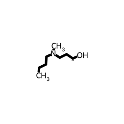 CCCCN(C)CC[C]O